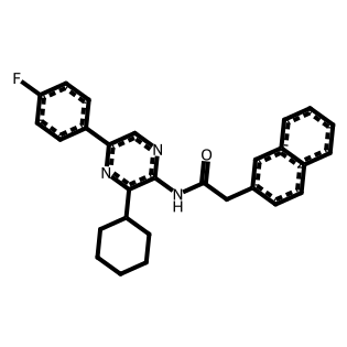 O=C(Cc1ccc2ccccc2c1)Nc1ncc(-c2ccc(F)cc2)nc1C1CCCCC1